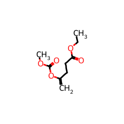 C=C(CCC(=O)OCC)OC(=O)OC